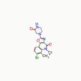 Cc1c(Br)ccc2c3oc(N4CCNC(=O)C4)nc3c(=O)n(C3CC3)c12